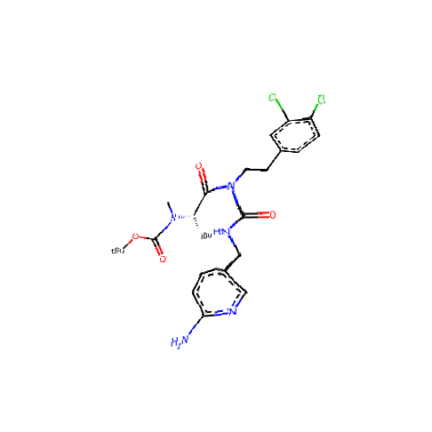 CC[C@@H](C)[C@@H](C(=O)N(CCc1ccc(Cl)c(Cl)c1)C(=O)NCc1ccc(N)nc1)N(C)C(=O)OC(C)(C)C